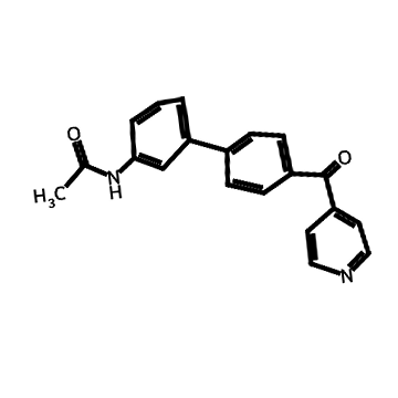 CC(=O)Nc1cccc(-c2ccc(C(=O)c3ccncc3)cc2)c1